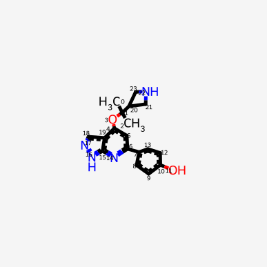 CC(C)(Oc1cc(-c2ccc(O)cc2)nc2[nH]ncc12)C1CNC1